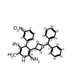 CC1=C(C(C)C)C(c2cccc([N+](=O)[O-])c2)C(C2CN(C(c3ccccc3)c3ccccc3)C2)=C(N)N1